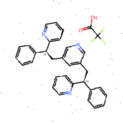 O=C(O)C(F)(F)F.c1ccc([C@H](Cc2cncc(C[C@@H](c3ccccc3)c3ccccn3)c2)c2ccccn2)cc1